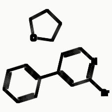 Brc1cc(-c2ccccc2)ccn1.C1CCOC1